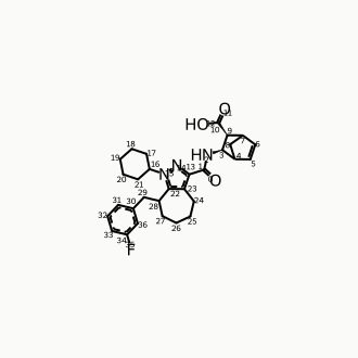 O=C(N[C@@H]1C2C=CC(C2)[C@@H]1C(=O)O)c1nn(C2CCCCC2)c2c1CCCCC2Cc1cccc(F)c1